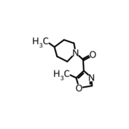 Cc1ocnc1C(=O)N1CCC(C)CC1